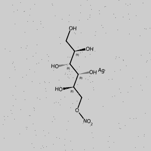 O=[N+]([O-])OC[C@@H](O)[C@@H](O)[C@H](O)[C@H](O)CO.[Ag]